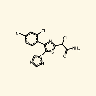 NC(=O)C(Cl)c1nc(-c2ccc(Cl)cc2Cl)c(-n2cncn2)s1